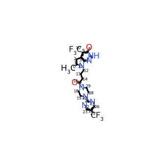 CC1Cc2c(n[nH]c(=O)c2C(F)(F)F)N1CCCC(=O)N1CCN(c2ncc(C(F)(F)F)cn2)CC1